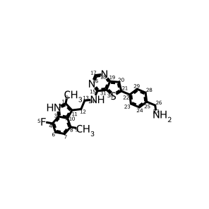 Cc1[nH]c2c(F)ccc(C)c2c1CCNc1ncnc2cc(-c3ccc(CN)cc3)sc12